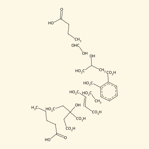 CC(=O)O.CC(O)C(=O)O.CCCC(=O)O.CCCCC(=O)O.O=C(O)C=CC(=O)O.O=C(O)CC(O)(CC(=O)O)C(=O)O.O=C(O)c1ccccc1C(=O)O.O=CO